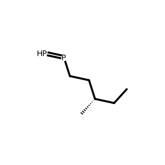 CC[C@H](C)CCP=P